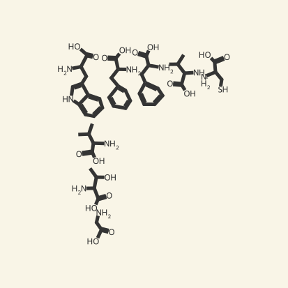 CC(C)C(N)C(=O)O.CC(C)C(N)C(=O)O.CC(O)C(N)C(=O)O.NC(CS)C(=O)O.NC(Cc1c[nH]c2ccccc12)C(=O)O.NC(Cc1ccccc1)C(=O)O.NC(Cc1ccccc1)C(=O)O.NCC(=O)O